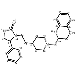 O=C1OCC(c2ccccc2)N1CCC1CCN(CC2COc3ccccc3O2)CC1